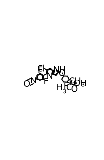 CC(C)(C(=O)O)[C@]1(F)CC[C@@H](Oc2cc3nc(-c4c(F)cc(N5CCOCC5)cc4F)c(Cl)cc3[nH]2)CC1